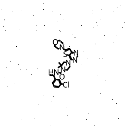 CC(NC(=O)N1CCN(c2ncnc3cc(N4CCOCC4)sc23)CC1(C)C)c1cccc(Cl)c1